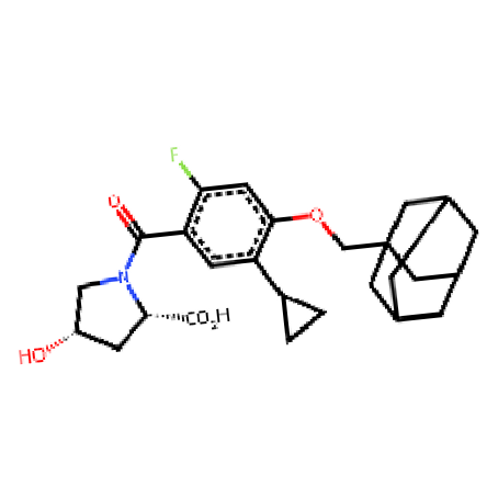 O=C(O)[C@@H]1C[C@H](O)CN1C(=O)c1cc(C2CC2)c(OCC23CC4CC(CC(C4)C2)C3)cc1F